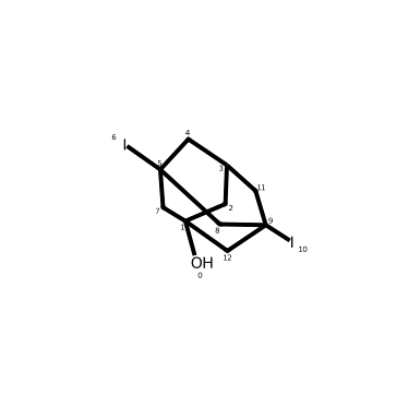 OC12CC3CC(I)(C1)CC(I)(C3)C2